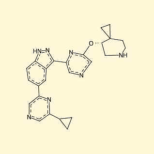 c1cc2[nH]nc(-c3cncc(O[C@H]4CNCCC45CC5)n3)c2cc1-c1cncc(C2CC2)n1